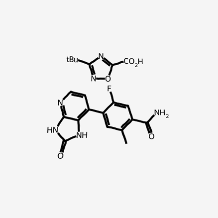 CC(C)(C)c1noc(C(=O)O)n1.Cc1cc(-c2ccnc3[nH]c(=O)[nH]c23)c(F)cc1C(N)=O